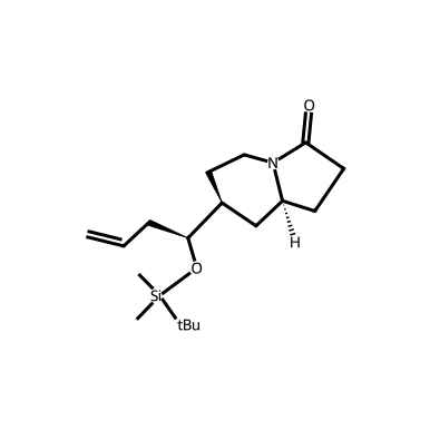 C=CC[C@H](O[Si](C)(C)C(C)(C)C)[C@H]1CCN2C(=O)CC[C@H]2C1